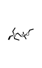 C=C[Si](CC)(CC)CC[Si](C)(C)OCC